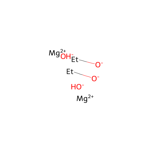 CC[O-].CC[O-].[Mg+2].[Mg+2].[OH-].[OH-]